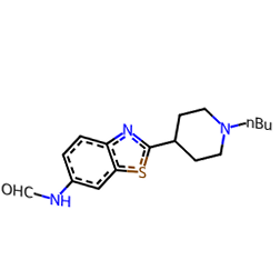 CCCCN1CCC(c2nc3ccc(NC=O)cc3s2)CC1